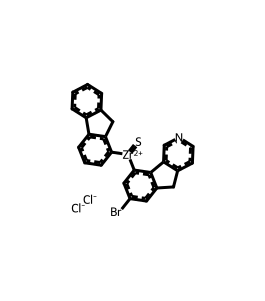 [Cl-].[Cl-].[S]=[Zr+2]([c]1cccc2c1Cc1ccccc1-2)[c]1cc(Br)cc2c1-c1cnccc1C2